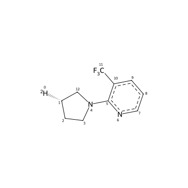 [2H][C@H]1CCN(c2ncccc2C(F)(F)F)C1